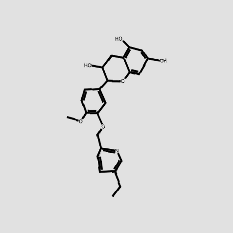 CCc1ccc(COc2cc(C3Oc4cc(O)cc(O)c4CC3O)ccc2OC)nc1